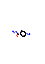 [NH][C@H]1CC[C@@H](C(N)=O)CC1